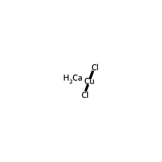 [CaH2].[Cl][Cu][Cl]